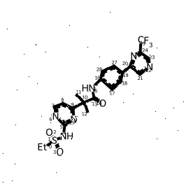 CCS(=O)(=O)Nc1nccc(C(C)(C)C(=O)Nc2ccc(-c3cncc(C(F)(F)F)n3)cc2)n1